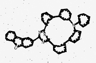 c1ccc(N2c3cccc(c3)-c3cccc(c3)-c3nc(nc(-c4ccc5oc6ccccc6c5c4)n3)-c3cccc(c3)-c3cccc2c3)cc1